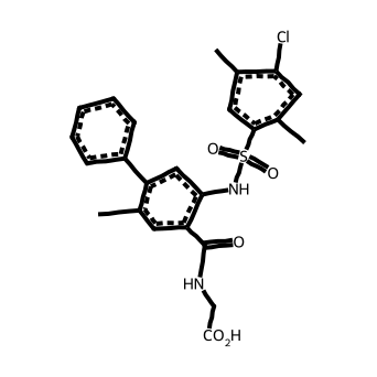 Cc1cc(S(=O)(=O)Nc2cc(-c3ccccc3)c(C)cc2C(=O)NCC(=O)O)c(C)cc1Cl